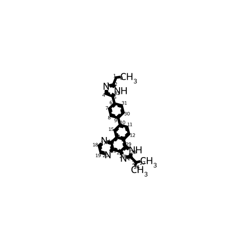 CCc1ncc(-c2ccc(-c3ccc4c(c3)c3nccnc3c3nc(C(C)C)[nH]c43)cc2)[nH]1